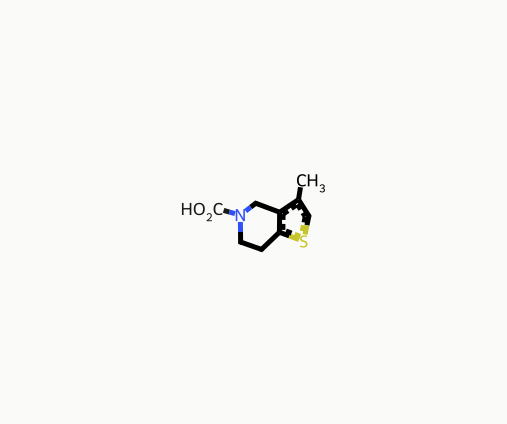 Cc1csc2c1CN(C(=O)O)CC2